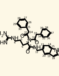 N=C(N)NCCCC(C(=O)NCc1ccc2[nH]ccc2c1)N(C(=O)Cc1ccccc1)C(=O)Cc1ccccc1